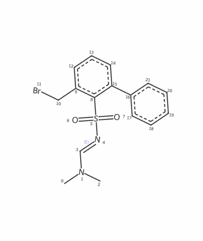 CN(C)/C=N/S(=O)(=O)c1c(CBr)cccc1-c1ccccc1